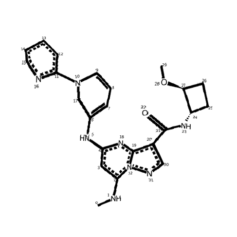 CNc1cc(NC2=CC=CN(c3ccccn3)C2)nc2c(C(=O)N[C@H]3CC[C@@H]3OC)cnn12